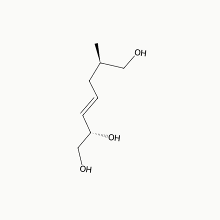 C[C@@H](CO)C/C=C/[C@H](O)CO